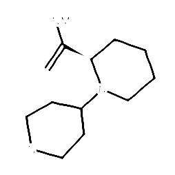 CNC(=O)[C@H]1CCCCN1C1CCNCC1